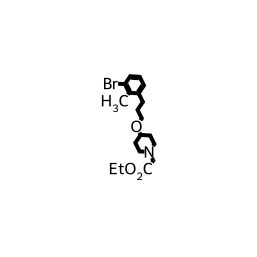 CCOC(=O)CN1CCC(OCCCc2cccc(Br)c2C)CC1